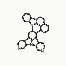 c1cc2ccc3c4ccccc4n4c5cc6c7ccncc7n7c8cnccc8c(c5c(c1)c2c34)c67